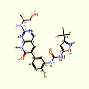 C[C@@H](CO)Nc1ncc2cc(-c3ccc(F)c(NC(=O)Nc4cc(C(C)(C)C)no4)c3)c(=O)n(C)c2n1